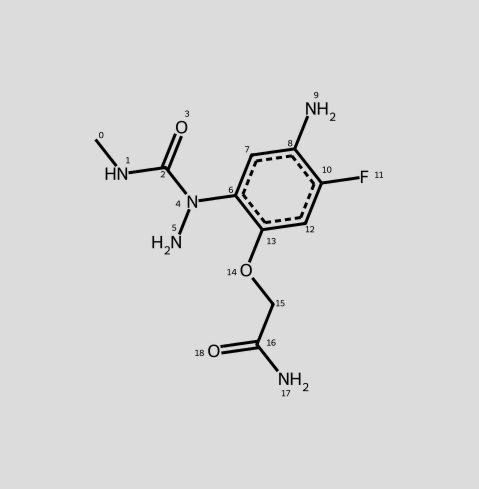 CNC(=O)N(N)c1cc(N)c(F)cc1OCC(N)=O